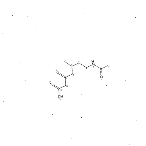 CC(=O)NCCC(C)CC(=O)CC(O)=S